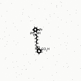 CC(C)c1cccc(C(C)C)c1NC(=O)CCCCCSc1nc2cccc(C(=O)O)c2o1